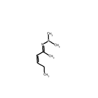 CC/C=C\C(C)=N\N(C)C